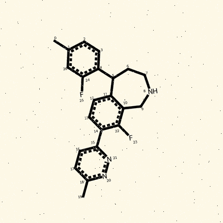 Cc1ccc(C2CCNCc3c2ccc(-c2ccc(C)nn2)c3F)c(F)c1